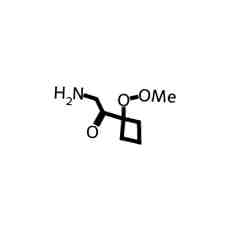 COOC1(C(=O)CN)CCC1